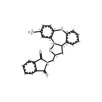 O=C1c2ccccc2C(=O)N1CC1CC2c3ccccc3Oc3ccc(C(F)(F)F)cc3N2O1